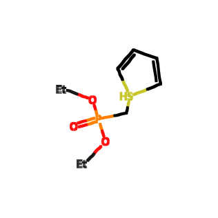 CCOP(=O)(C[SH]1C=CC=C1)OCC